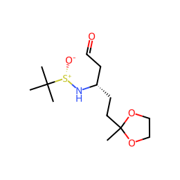 CC1(CC[C@@H](CC=O)N[S@@+]([O-])C(C)(C)C)OCCO1